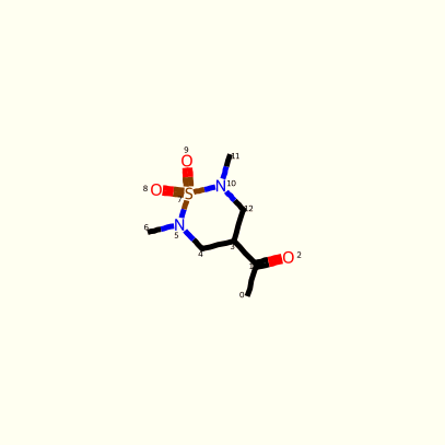 CC(=O)C1CN(C)S(=O)(=O)N(C)C1